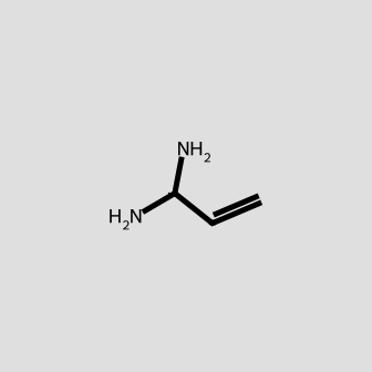 C=C[C](N)N